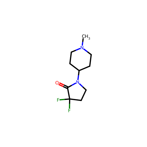 CN1CCC(N2CCC(F)(F)C2=O)CC1